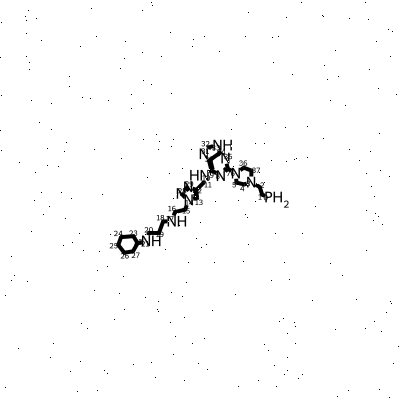 PCCN1CCN(c2nc(NCc3cn(CCNCCCNC4CCCCC4)nn3)c3nc[nH]c3n2)CC1